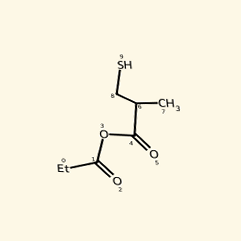 CCC(=O)OC(=O)C(C)CS